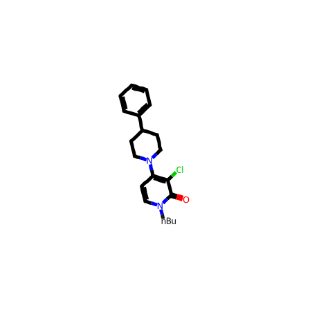 CCCCn1ccc(N2CCC(c3ccccc3)CC2)c(Cl)c1=O